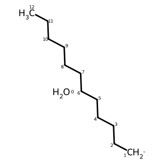 O.[CH2]CCCCCCCCCCC